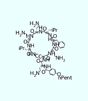 CCCCCOc1ccc(C(=O)N[C@H](CCN)C(=O)N[C@H]2CCNC(=O)[C@H](CC(C)C)NC(=O)[C@H](CCN)NC(=O)[C@H](CCN)NC(=O)[C@H](CC(C)C)NC(=O)[C@@H](Cc3ccccc3)NC(=O)[C@H](CCN)NC2=O)cc1